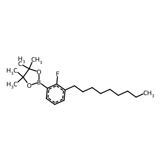 CCCCCCCCCc1cccc(B2OC(C)(C)C(C)(C)O2)c1F